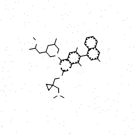 COC(C)CC1CC(C)CN(c2nc(OCC3(CN(C)C)CC3)nc3c(F)c(-c4cc(O)cc5ccccc45)c(Cl)cc23)C1